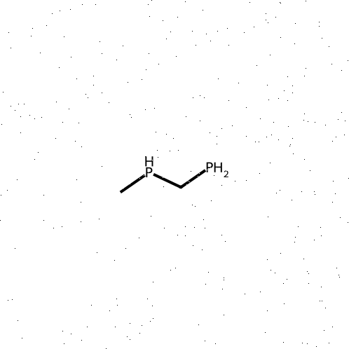 CPCP